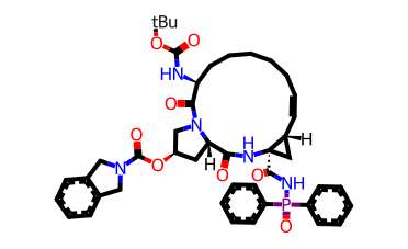 CC(C)(C)OC(=O)N[C@H]1CCCCC/C=C\[C@@H]2C[C@@]2(C(=O)NP(=O)(c2ccccc2)c2ccccc2)NC(=O)[C@@H]2C[C@@H](OC(=O)N3Cc4ccccc4C3)CN2C1=O